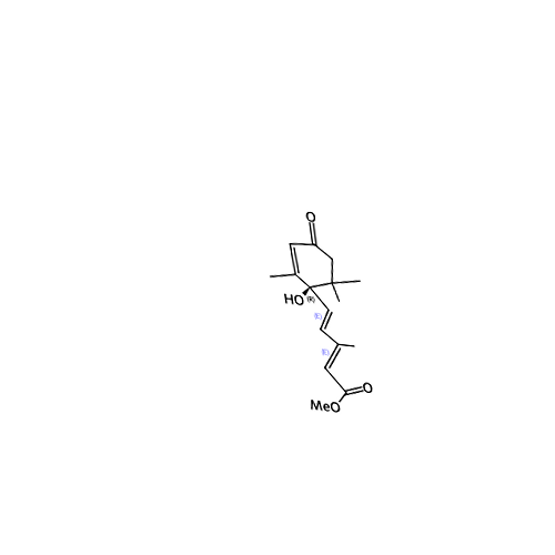 COC(=O)/C=C(C)/C=C/[C@]1(O)C(C)=CC(=O)CC1(C)C